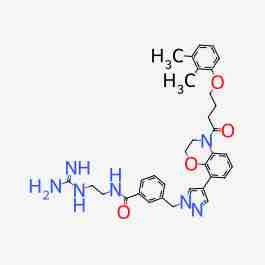 Cc1cccc(OCCCC(=O)N2CCOc3c(-c4cnn(Cc5cccc(C(=O)NCCNC(=N)N)c5)c4)cccc32)c1C